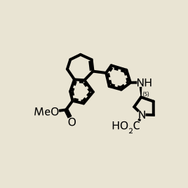 COC(=O)c1ccc2c(c1)CCCC=C2c1ccc(N[C@H]2CCN(C(=O)O)C2)cc1